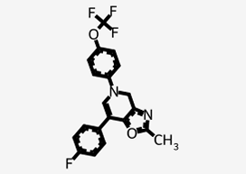 Cc1nc2c(o1)C(c1ccc(F)cc1)=CN(c1ccc(OC(F)(F)F)cc1)C2